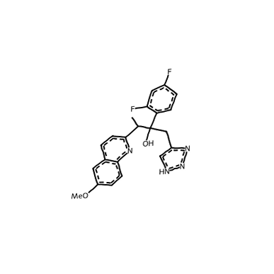 COc1ccc2nc(C(C)C(O)(Cc3c[nH]nn3)c3ccc(F)cc3F)ccc2c1